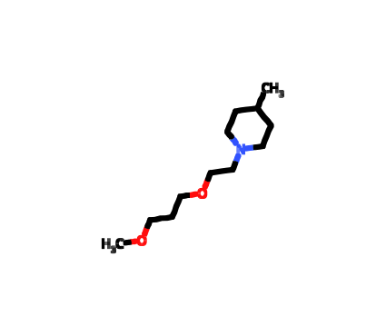 COCCCOCCN1CCC(C)CC1